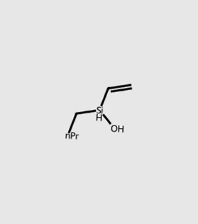 C=C[SiH](O)CCCC